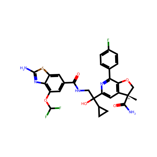 C[C@]1(C(N)=O)COc2c1cc(C(O)(CNC(=O)c1cc(OC(F)F)c3nc(N)sc3c1)C1CC1)nc2-c1ccc(F)cc1